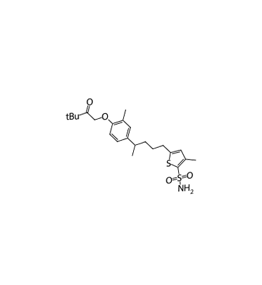 Cc1cc(C(C)CCCc2cc(C)c(S(N)(=O)=O)s2)ccc1OCC(=O)C(C)(C)C